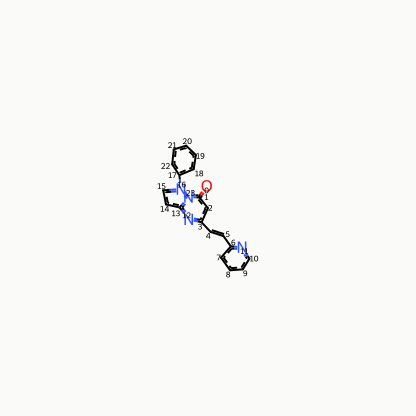 O=c1cc(/C=C/c2ccccn2)nc2ccn(-c3ccccc3)n12